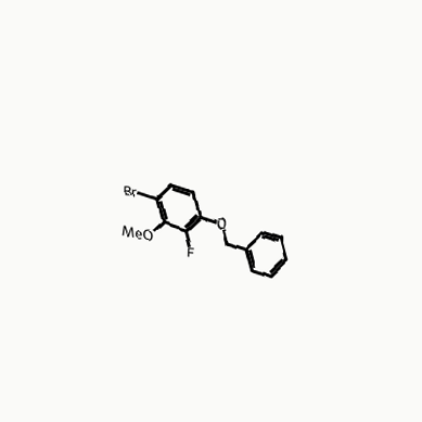 COc1c(Br)ccc(OCc2ccccc2)c1F